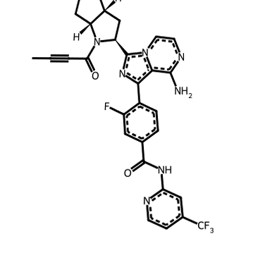 CC#CC(=O)N1[C@@H]2COC[C@@H]2C[C@H]1c1nc(-c2ccc(C(=O)Nc3cc(C(F)(F)F)ccn3)cc2F)c2c(N)nccn12